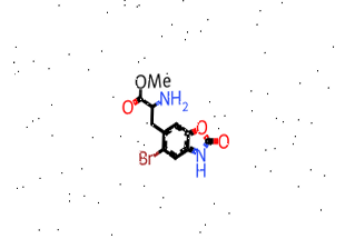 COC(=O)C(N)Cc1cc2oc(=O)[nH]c2cc1Br